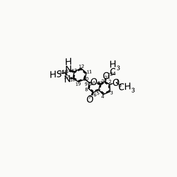 COc1ccc2c(=O)cc(-c3ccc4[nH]c(S)nc4c3)oc2c1OC